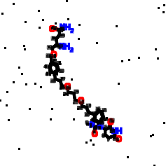 Cn1c(=O)n(C2CCC(=O)NC2=O)c2cccc(CCCOCCCOCCCc3ccc(COC[C@@H](N)CCC(N)=O)cc3)c21